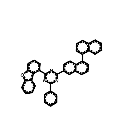 c1ccc(-c2nc(-c3ccc4c(-c5cccc6ccccc56)cccc4c3)nc(-c3cccc4oc5ccccc5c34)n2)cc1